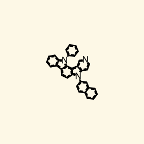 c1ccc(-n2c3ccccc3c3ccc4c(c5cnccc5n4-c4ccc5ccccc5c4)c32)cc1